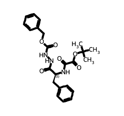 CC(C)(C)OC(=O)C(=O)N[C@@H](Cc1ccccc1)C(=O)NNC(=O)OCc1ccccc1